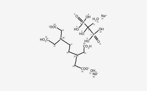 CC(O)(P(=O)(O)O)P(=O)(O)O.O.O.O=C([O-])CN(CCN(CC(=O)[O-])CC(=O)O)CC(=O)O.[Na+].[Na+]